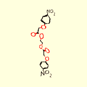 O=C(COc1ccc([N+](=O)[O-])cc1)OCCOC(=O)COc1ccc([N+](=O)[O-])cc1